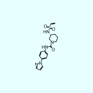 C=CS(=O)(=O)N[C@@H]1CCCN(C(=O)Nc2ccc(-n3cccn3)cc2)C1